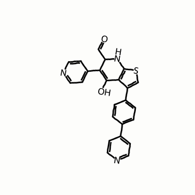 O=CC1Nc2scc(-c3ccc(-c4ccncc4)cc3)c2C(O)=C1c1ccncc1